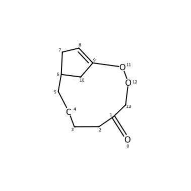 O=C1CCCCC2CC=C(C2)OOC1